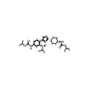 CC(C)OC(=O)Nc1ccc(-c2cnc([C@H]3CC[C@H](NC(=O)OC(C)C)CC3)s2)c([S+]([O-])C(C)C)c1